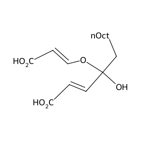 CCCCCCCCCC(O)(C=CC(=O)O)OC=CC(=O)O